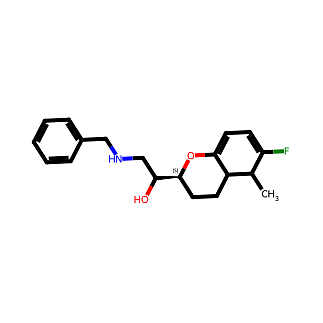 CC1C(F)=CC=C2O[C@H](C(O)CNCc3ccccc3)CCC21